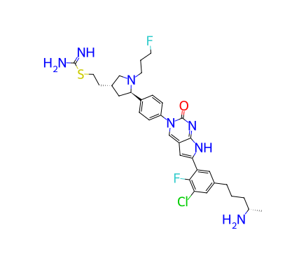 C[C@H](N)CCCc1cc(Cl)c(F)c(-c2cc3cn(-c4ccc([C@H]5C[C@H](CCSC(=N)N)CN5CCCF)cc4)c(=O)nc3[nH]2)c1